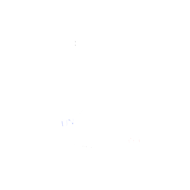 CC#CC1CC(O)CCN1